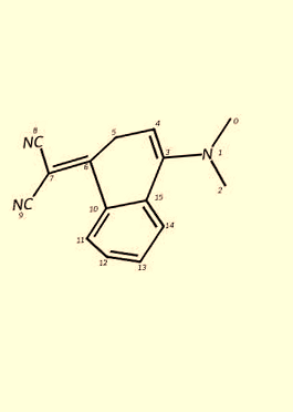 CN(C)C1=CCC(=C(C#N)C#N)c2ccccc21